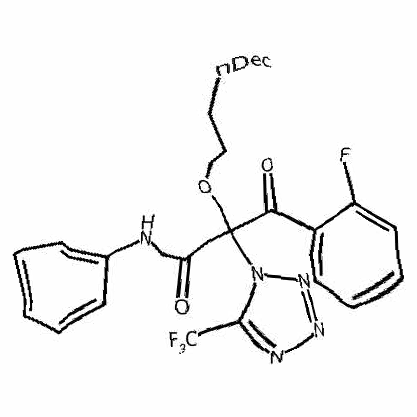 CCCCCCCCCCCCOC(C(=O)Nc1ccccc1)(C(=O)c1ccccc1F)n1nnnc1C(F)(F)F